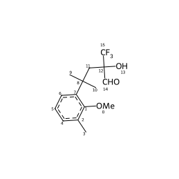 COc1c(C)cccc1C(C)(C)CC(O)(C=O)C(F)(F)F